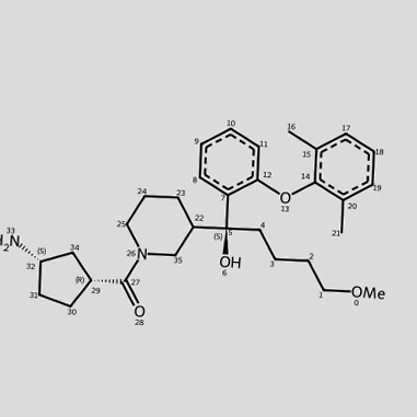 COCCCC[C@@](O)(c1ccccc1Oc1c(C)cccc1C)C1CCCN(C(=O)[C@@H]2CC[C@H](N)C2)C1